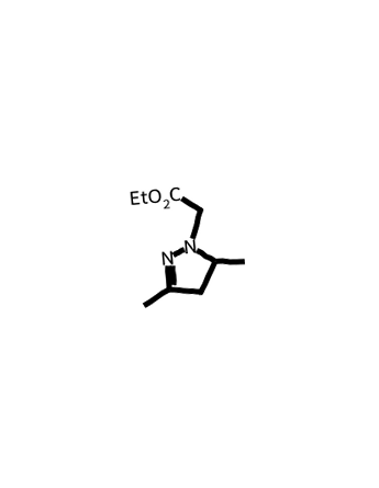 CCOC(=O)CN1N=C(C)CC1C